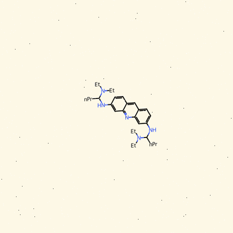 CCCC(Nc1ccc2cc3ccc(NC(CCC)N(CC)CC)cc3nc2c1)N(CC)CC